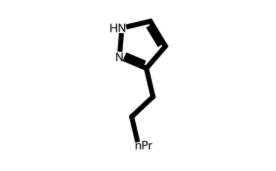 CCCCCc1cc[nH]n1